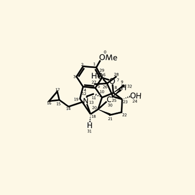 COc1ccc2c3c1O[C@@]1(C)[C@]34CCN(CC3CC3)[C@H](C2)[C@]42CC[C@@]1(O)[C@@H](C(C)(C)O)C2